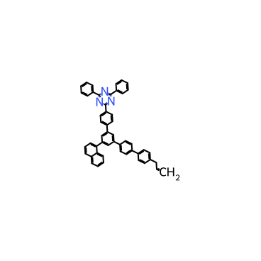 C=CCc1ccc(-c2ccc(-c3cc(-c4ccc(-c5nc(-c6ccccc6)nc(-c6ccccc6)n5)cc4)cc(-c4cccc5ccccc45)c3)cc2)cc1